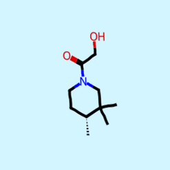 C[C@@H]1CCN(C(=O)CO)CC1(C)C